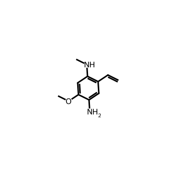 C=Cc1cc(N)c(OC)cc1NC